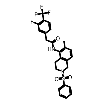 Cc1ccc2c(c1NC(=O)Cc1ccc(C(F)(F)F)c(F)c1)CCN(S(=O)(=O)c1ccccc1)C2